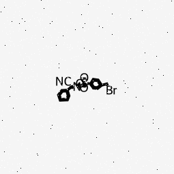 N#C/C(=N\OS(=O)(=O)c1ccc(CBr)cc1)c1ccccc1